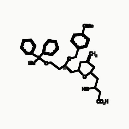 C=C1CC(CC(O)CC(=O)O)OC(C[C@@H](CCO[Si](c2ccccc2)(c2ccccc2)C(C)(C)C)OCc2ccc(OC)cc2)C1